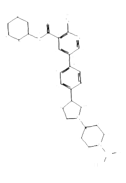 C[S+]([O-])N1CCC(N2CCC(c3ccc(-c4cnc(N)c(C(=O)NC5CCCCC5)c4)cc3)C2)CC1